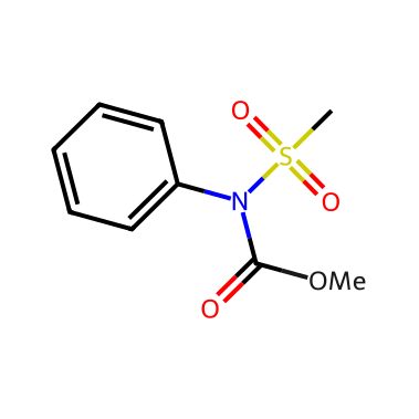 COC(=O)N(c1ccccc1)S(C)(=O)=O